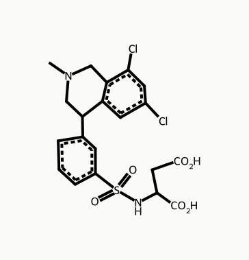 CN1Cc2c(Cl)cc(Cl)cc2C(c2cccc(S(=O)(=O)NC(CC(=O)O)C(=O)O)c2)C1